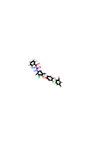 Cc1ccc(Oc2ccc(Oc3c(C)cc(NC(=O)NC(=O)c4ccccc4Cl)c(C)c3Cl)cc2Cl)c(C)c1